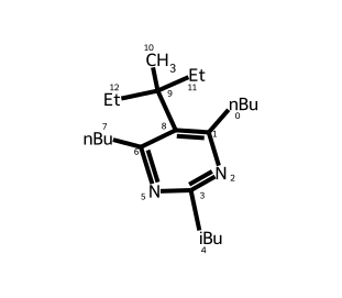 CCCCc1nc(C(C)CC)nc(CCCC)c1C(C)(CC)CC